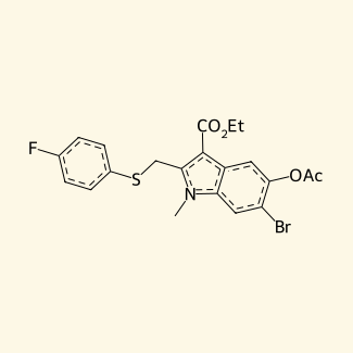 CCOC(=O)c1c(CSc2ccc(F)cc2)n(C)c2cc(Br)c(OC(C)=O)cc12